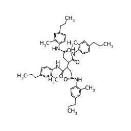 CCCc1ccc(NC(=O)CC(C(=O)Nc2ccc(CCC)cc2C)C(CC(=O)Nc2ccc(CCC)cc2C)C(=O)Nc2ccc(CCC)cc2C)c(C)c1